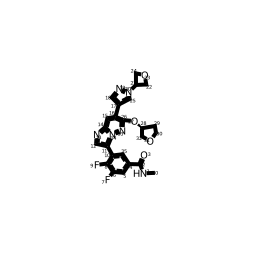 CNC(=O)c1cc(F)c(F)c(-c2cnc3cc(-c4cnn(C5COC5)c4)c(O[C@H]4CCOC4)nn23)c1